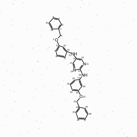 c1ccc(COc2cccc(Nc3cnc(Nc4cccc(OCc5ccccc5)c4)nc3)c2)cc1